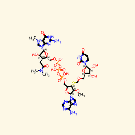 CO[C@@H]1[C@H](SCOC[C@H]2O[C@@H](n3ccc(=O)[nH]c3=O)[C@H](O)[C@@H]2O)C(COP(=O)(O)OP(=O)(O)OP(=O)([O-])OC[C@H]2O[C@@H](n3c[n+](C)c4c(=O)[nH]c(N)nc43)[C@H](O)[C@@H]2CC(=O)N(C)C)O[C@H]1n1cnc2c(N)ncnc21